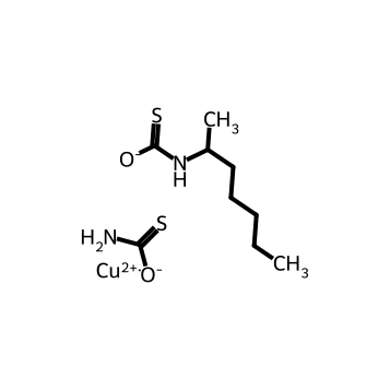 CCCCCC(C)NC([O-])=S.NC([O-])=S.[Cu+2]